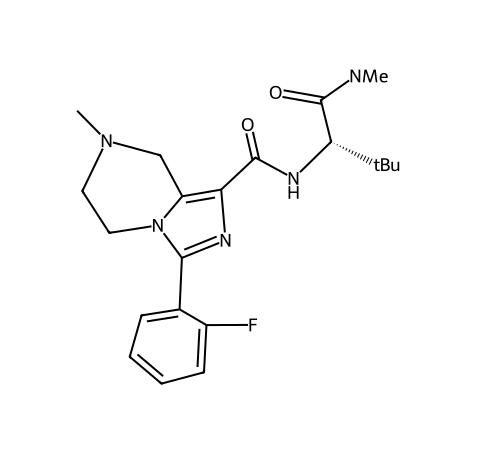 CNC(=O)[C@@H](NC(=O)c1nc(-c2ccccc2F)n2c1CN(C)CC2)C(C)(C)C